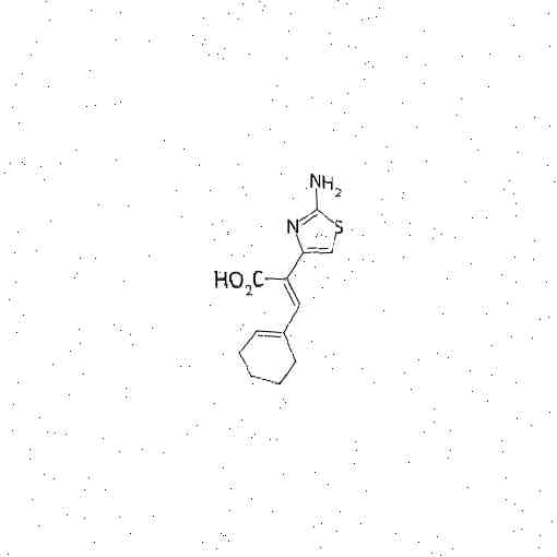 Nc1nc(/C(=C/C2=CCCCC2)C(=O)O)cs1